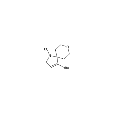 CCN1CC=C(C(C)(C)C)C12CCOCC2